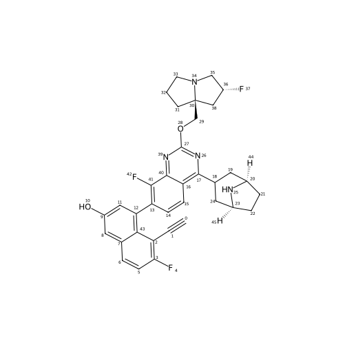 C#Cc1c(F)ccc2cc(O)cc(-c3ccc4c(C5C[C@H]6CC[C@@H](C5)N6)nc(OC[C@@]56CCCN5C[C@H](F)C6)nc4c3F)c12